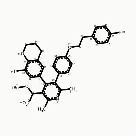 Cc1nc(C)c(C(OC(C)(C)C)C(=O)O)c(-c2cc(F)c3c(c2)CCCO3)c1-c1ccc(OCCc2ccc(F)cc2)cc1